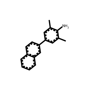 Cc1cc(-c2ccc3ccccc3c2)cc(C)c1N